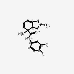 CN1CC2=CC=CC(N)(C(=O)Nc3ccc(F)c(Cl)c3)C2C1